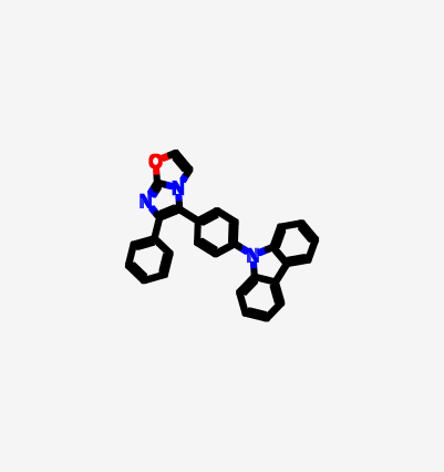 c1ccc(-c2nc3occn3c2-c2ccc(-n3c4ccccc4c4ccccc43)cc2)cc1